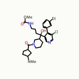 CCc1cccc(-c2c(Cl)cncc2C(O)(CCCNC(=O)OC)C2CCCN(C(=O)C3CCC(NC)C3)C2)c1